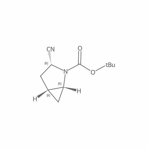 CC(C)(C)OC(=O)N1[C@@H]2C[C@@H]2C[C@@H]1C#N